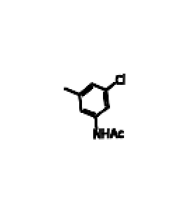 CC(=O)Nc1cc(C)cc(Cl)c1